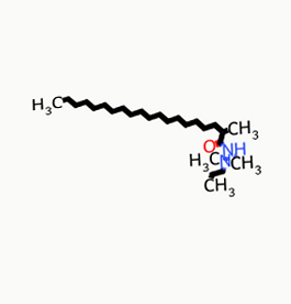 CCCCCCCCCCCCCCCCCCC(C)C(=O)N[N+](C)(C)CCC